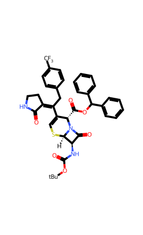 CC(C)(C)OC(=O)N[C@@H]1C(=O)N2[C@@H](C(=O)OC(c3ccccc3)c3ccccc3)C(C(Cc3ccc(C(F)(F)F)cc3)=C3CCNC3=O)=CS[C@H]12